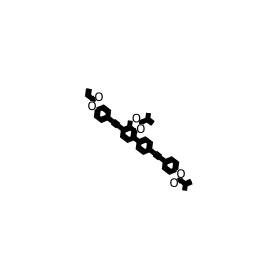 C=CC(=O)Oc1ccc(C#Cc2ccc(-c3ccc(C#Cc4ccc(OC(=O)C(=C)C)cc4)cc3)c(OC(=O)C(=C)C)c2C)cc1